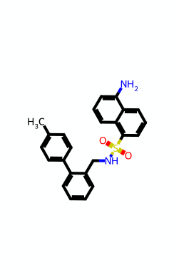 Cc1ccc(-c2ccccc2CNS(=O)(=O)c2cccc3c(N)cccc23)cc1